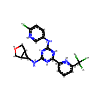 Fc1ccc(Nc2nc(NC3C4COCC43)nc(-c3cccc(C(F)(F)F)n3)n2)cn1